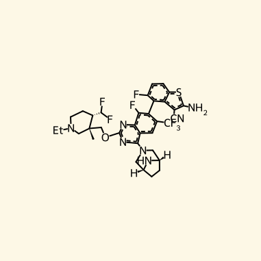 CCN1CC[C@H](C(F)F)[C@](C)(COc2nc(N3C[C@H]4CC[C@@H](C3)N4)c3cc(C(F)(F)F)c(-c4c(F)ccc5sc(N)c(C#N)c45)c(F)c3n2)C1